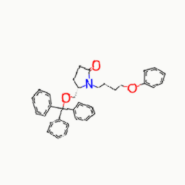 O=C1CC[C@@H](COC(c2ccccc2)(c2ccccc2)c2ccccc2)N1CCCCOc1ccccc1